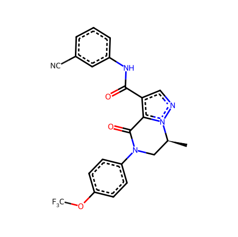 C[C@H]1CN(c2ccc(OC(F)(F)F)cc2)C(=O)c2c(C(=O)Nc3cccc(C#N)c3)cnn21